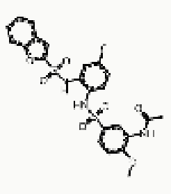 COc1ccc(S(=O)(=O)Nc2ccc(Cl)cc2NS(=O)(=O)c2cc3ccccc3o2)cc1NC(C)=O